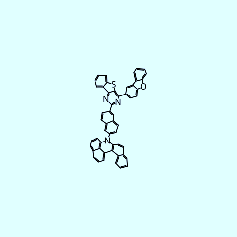 c1ccc2c3c(ccc2c1)N(c1ccc2cc(-c4nc(-c5ccc6oc7ccccc7c6c5)c5sc6ccccc6c5n4)ccc2c1)c1cccc2cccc-3c12